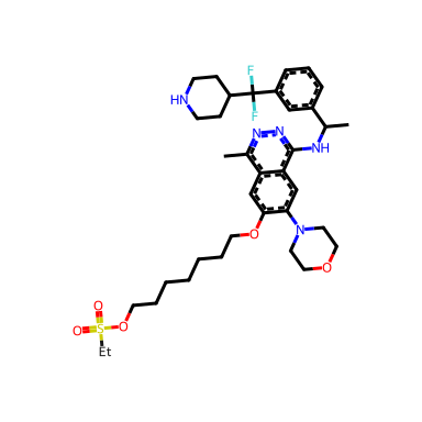 CCS(=O)(=O)OCCCCCCCOc1cc2c(C)nnc(NC(C)c3cccc(C(F)(F)C4CCNCC4)c3)c2cc1N1CCOCC1